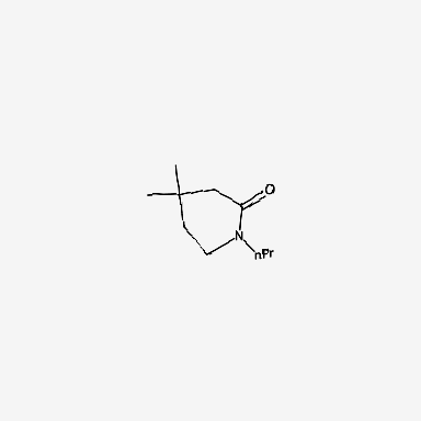 CCCN1CCC(C)(C)CC1=O